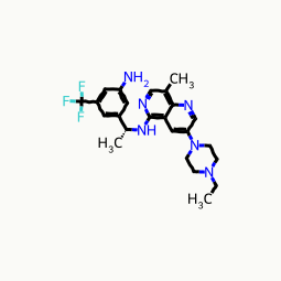 CCN1CCN(c2cnc3c(C)cnc(N[C@H](C)c4cc(N)cc(C(F)(F)F)c4)c3c2)CC1